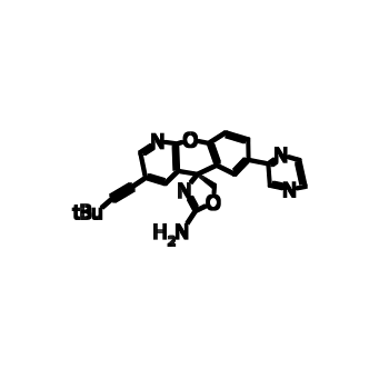 CC(C)(C)C#Cc1cnc2c(c1)[C@]1(COC(N)=N1)c1cc(-c3cnccn3)ccc1O2